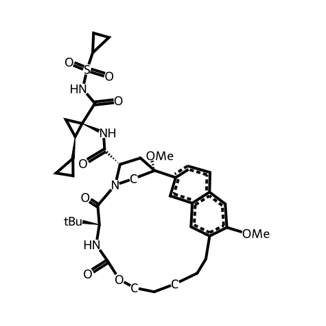 COc1cc2ccc3cc2cc1CCCCCOC(=O)N[C@@H](C(C)(C)C)C(=O)N1C[C@@]3(OC)C[C@H]1C(=O)N[C@]1(C(=O)NS(=O)(=O)C2CC2)C[C@@H]1C1CC1